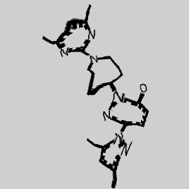 Cc1cc(C)nc(N2CCC(n3nc(-n4nc(C)cc4C)ccc3=O)CC2)n1